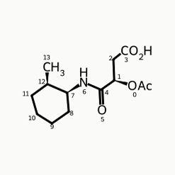 CC(=O)O[C@H](CC(=O)O)C(=O)N[C@H]1CCCC[C@H]1C